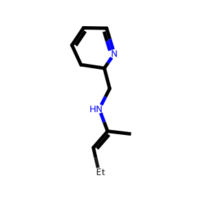 CC/C=C(\C)NCC1CC=CC=N1